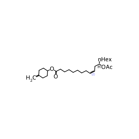 C=C1CCC(OC(=O)CCCCCCC/C=C\C[C@@H](CCCCCC)OC(C)=O)CC1